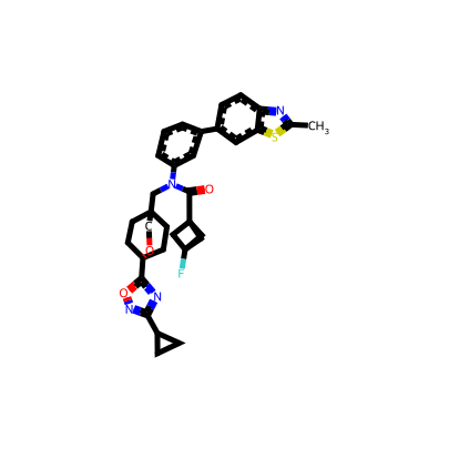 Cc1nc2ccc(-c3cccc(N(CC45CCC(c6nc(C7CC7)no6)(CC4)OC5)C(=O)C45CC(F)(C4)C5)c3)cc2s1